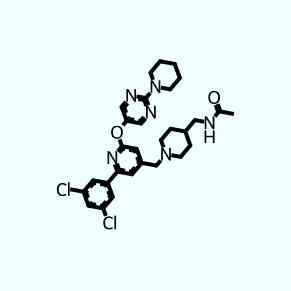 CC(=O)NCC1CCN(Cc2cc(Oc3cnc(N4CCCCC4)nc3)nc(-c3cc(Cl)cc(Cl)c3)c2)CC1